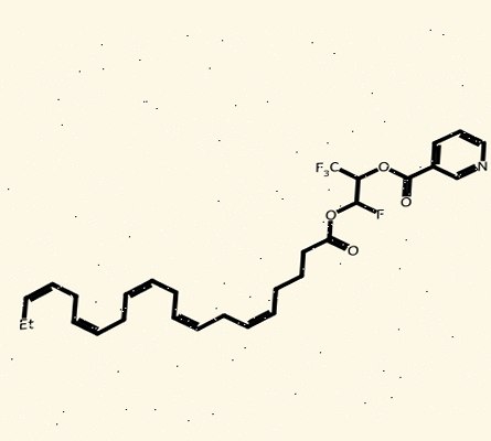 CC/C=C\C/C=C\C/C=C\C/C=C\C/C=C\CCCC(=O)OC(F)C(OC(=O)c1cccnc1)C(F)(F)F